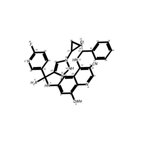 BC(Nc1cc(OC)c2ncc(C#N)c(N[C@H](CC)c3ccccc3)c2c1)(C1=CN(C2CC2)NN1)c1ccc(F)nc1